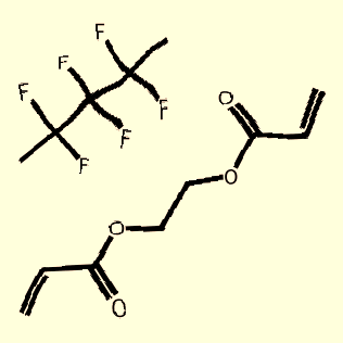 C=CC(=O)OCCOC(=O)C=C.CC(F)(F)C(F)(F)C(C)(F)F